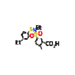 CCc1ccc(SN(CC)S(=O)(=O)c2ccc(C)c(C(=O)O)c2)cc1